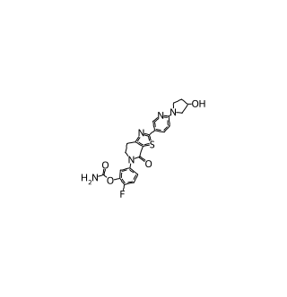 NC(=O)Oc1cc(N2CCc3nc(-c4ccc(N5CCC(O)C5)nc4)sc3C2=O)ccc1F